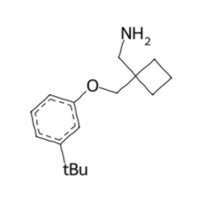 CC(C)(C)c1cccc(OCC2(CN)CCC2)c1